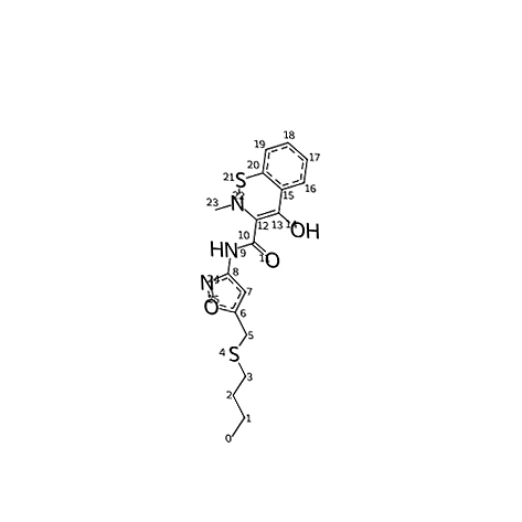 CCCCSCc1cc(NC(=O)C2=C(O)c3ccccc3SN2C)no1